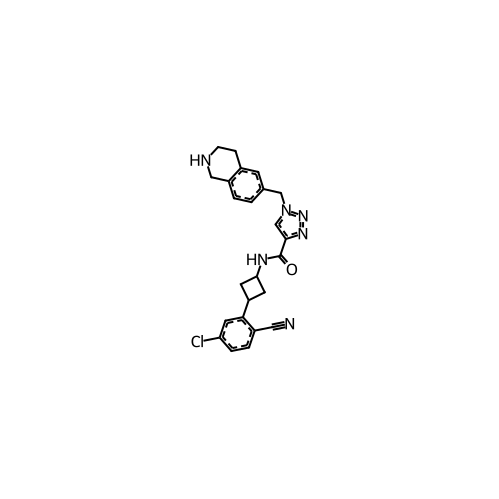 N#Cc1ccc(Cl)cc1C1CC(NC(=O)c2cn(Cc3ccc4c(c3)CCNC4)nn2)C1